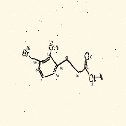 O=C(O)CCc1cccc(Br)c1O